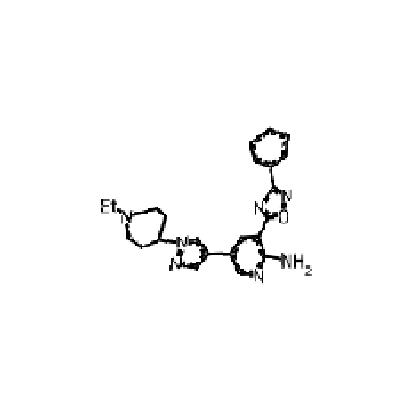 CCN1CCC(n2cc(-c3cnc(N)c(-c4nc(-c5ccccc5)no4)c3)cn2)CC1